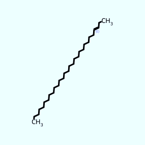 CC/C=C/CCCCCCCCCCCCCCCCCCCCCCCCC